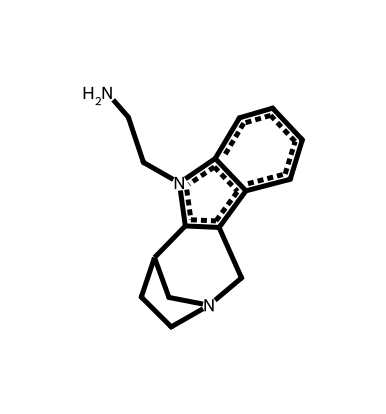 NCCn1c2c(c3ccccc31)CN1CCC2C1